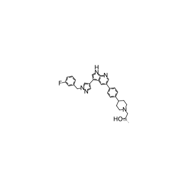 C[C@H](O)CN1CCC(c2ccc(-c3cnc4[nH]cc(-c5cnn(Cc6cccc(F)c6)c5)c4c3)cc2)CC1